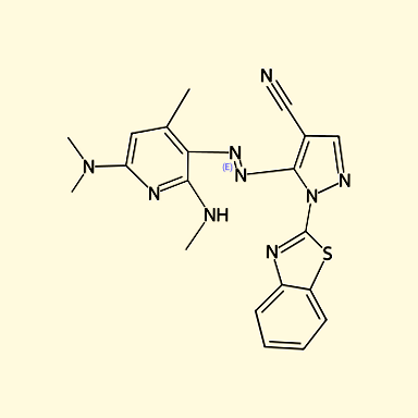 CNc1nc(N(C)C)cc(C)c1/N=N/c1c(C#N)cnn1-c1nc2ccccc2s1